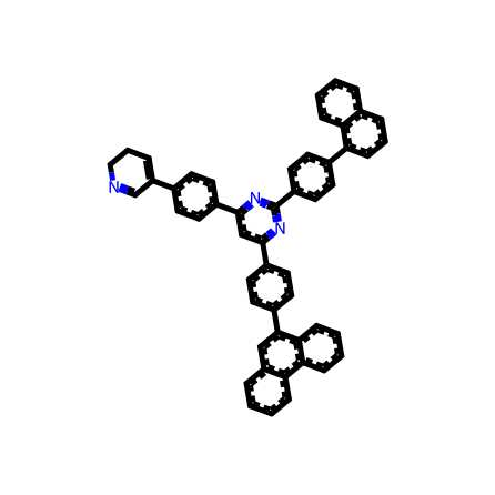 C1=NCCC=C1c1ccc(-c2cc(-c3ccc(-c4cc5ccccc5c5ccccc45)cc3)nc(-c3ccc(-c4cccc5ccccc45)cc3)n2)cc1